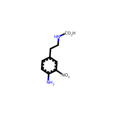 Nc1ccc(CCNC(=O)O)cc1[N+](=O)[O-]